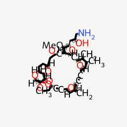 C=C1C[C@@H]2CC[C@@]34CCOC5[C@@H](O3)[C@H]3O[C@H](CC[C@@H]3O[C@H]5[C@H](C)O4)CC(=O)C[C@@H]3[C@@H](OC)[C@@H](C[C@H](O)CN)O[C@H]3C[C@H]3O[C@@H](CC[C@@H]1O2)C[C@@H](C)C3=C